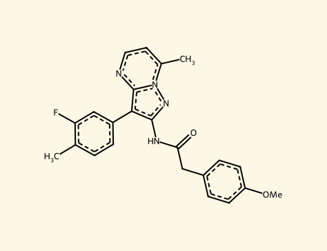 COc1ccc(CC(=O)Nc2nn3c(C)ccnc3c2-c2ccc(C)c(F)c2)cc1